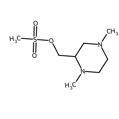 CN1CCN(C)C(COS(C)(=O)=O)C1